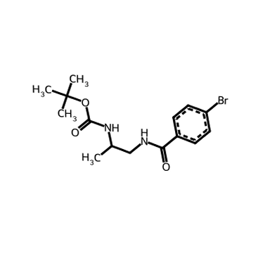 CC(CNC(=O)c1ccc(Br)cc1)NC(=O)OC(C)(C)C